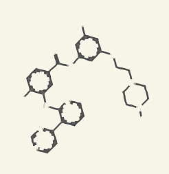 Cc1ccc(C(=O)Nc2cc(OCCN3CCN(C(=O)O)CC3)cc(C(F)(F)F)c2)cc1Nc1ncccc1-c1ccncn1